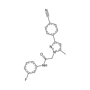 Cc1cc(-c2ccc(C#N)cc2)nn1CC(=O)Nc1cccc(F)c1